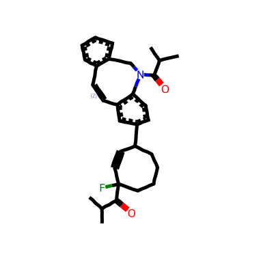 CC(C)C(=O)N1Cc2ccccc2/C=C\c2cc(C3C#CC(F)(C(=O)C(C)C)CCCC3)ccc21